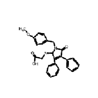 COc1ccc(CN2C(=O)C(c3ccccc3)=C(c3ccccc3)C2SCC(=O)O)cc1